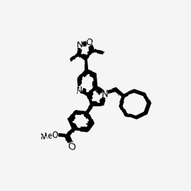 COC(=O)c1ccc(-c2cn(CC3CCCCCCC3)c3cc(-c4c(C)noc4C)cnc23)cc1